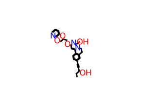 CCC(O)C#Cc1ccc2c(c1)CCN1C2=CC(OCC2COc3ncccc3O2)=NC1O